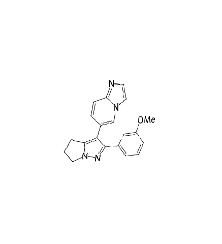 COc1cccc(-c2nn3c(c2-c2ccc4nccn4c2)CCC3)c1